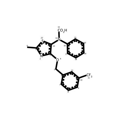 Cc1nc(OCc2cccc(C(F)(F)F)c2)c(N(C(=O)O)c2ccccc2)s1